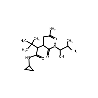 CC(C)C(O)NC(=O)C(CC(N)=O)C(C(=O)NC1CC1)C(C)(C)C